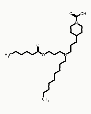 CCCCCCCCCN(CCCOC(=O)CCCCC)CCCC1CCN(C(=O)O)CC1